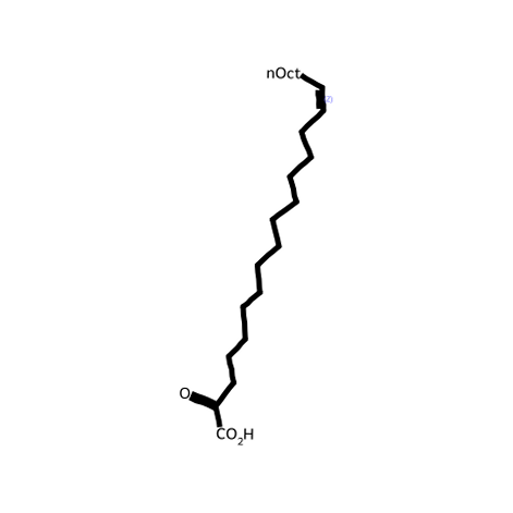 CCCCCCCC/C=C\CCCCCCCCCCCCC(=O)C(=O)O